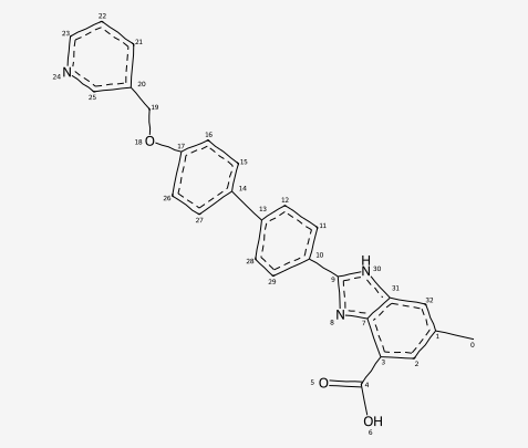 Cc1cc(C(=O)O)c2nc(-c3ccc(-c4ccc(OCc5cccnc5)cc4)cc3)[nH]c2c1